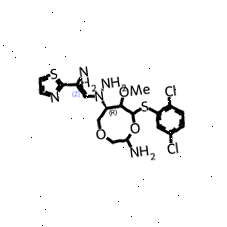 COC1C(Sc2cc(Cl)ccc2Cl)OC(N)COC[C@H]1N(N)/C=C(\N)c1nccs1